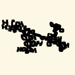 CC(C)(C)C(=O)OCc1ccc(OCCOCCNC(=O)[C@@H](CS(=O)(=O)O)NC(=O)CCN2C(=O)C=CC2=O)cc1O[C@@H]1O[C@H](C(=O)O)[C@@H](O)[C@H](O)[C@H]1O